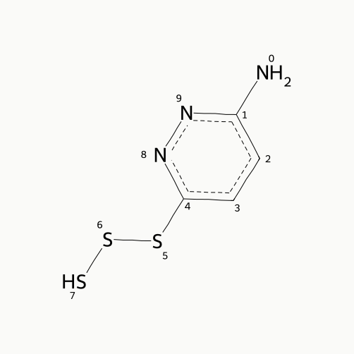 Nc1ccc(SSS)nn1